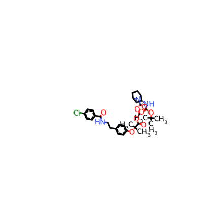 CC(C)(C)OC(=O)N[C@H]1CC2CCC1N2C(=O)OCOC(=O)C(C)(C)Oc1ccc(CCNC(=O)c2ccc(Cl)cc2)cc1